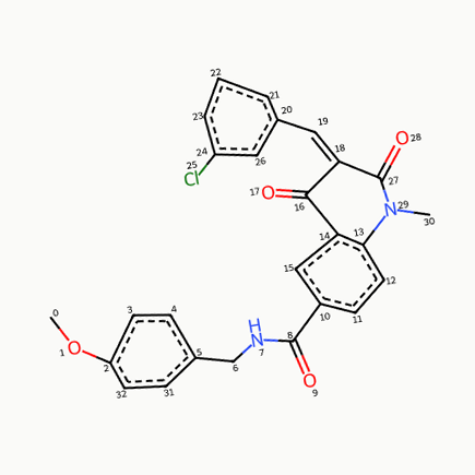 COc1ccc(CNC(=O)c2ccc3c(c2)C(=O)/C(=C\c2cccc(Cl)c2)C(=O)N3C)cc1